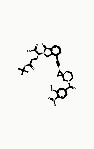 COc1cc(C(=O)N2CCC[C@]3(C[C@H]3C#Cc3cccc4c3CN([C@@H](CCC(=O)OC(C)(C)C)C(N)=O)C4=O)C2)ccc1[N+](=O)[O-]